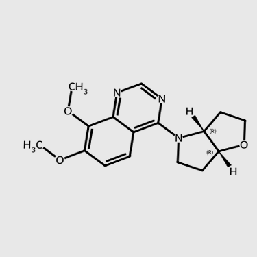 COc1ccc2c(N3CC[C@H]4OCC[C@H]43)ncnc2c1OC